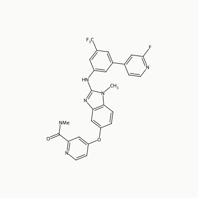 CNC(=O)c1cc(Oc2ccc3c(c2)nc(Nc2cc(-c4ccnc(F)c4)cc(C(F)(F)F)c2)n3C)ccn1